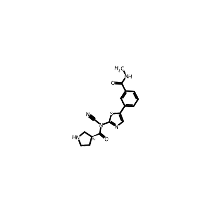 CNC(=O)c1cccc(-c2cnc(N(C#N)C(=O)[C@H]3CCNC3)s2)c1